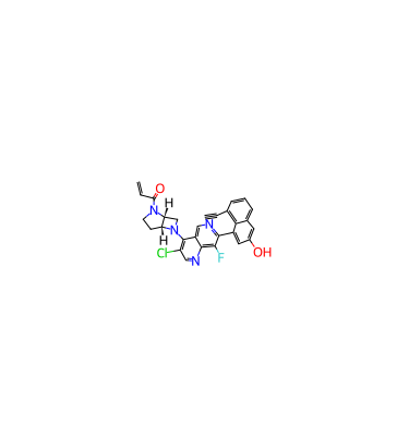 C#Cc1cccc2cc(O)cc(-c3ncc4c(N5C[C@@H]6[C@H]5CCN6C(=O)C=C)c(Cl)cnc4c3F)c12